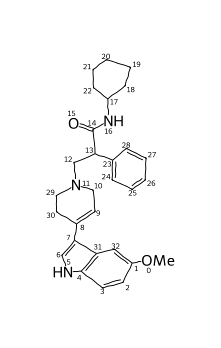 COc1ccc2[nH]cc(C3=CCN(CC(C(=O)NC4CCCCC4)c4ccccc4)CC3)c2c1